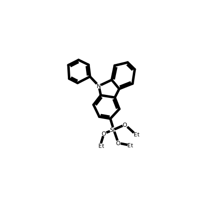 CCO[Si](OCC)(OCC)c1ccc2c(c1)c1ccccc1n2-c1ccccc1